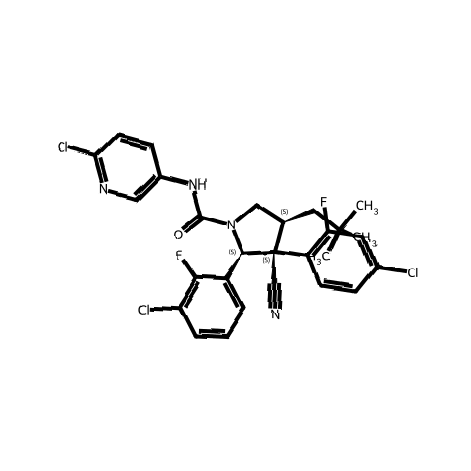 CC(C)(C)C[C@@H]1CN(C(=O)Nc2ccc(Cl)nc2)[C@H](c2cccc(Cl)c2F)[C@@]1(C#N)c1ccc(Cl)cc1F